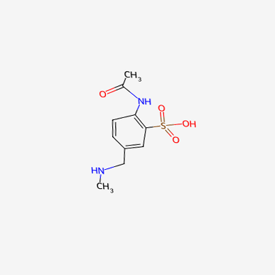 CNCc1ccc(NC(C)=O)c(S(=O)(=O)O)c1